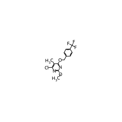 COc1nc(Cl)c(C)c(OCc2ccc(C(F)(F)F)cc2)n1